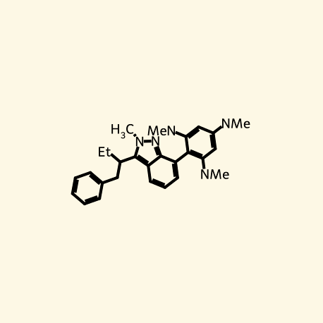 [CH2]CC(Cc1ccccc1)c1c2cccc(-c3c(NC)cc(NC)cc3NC)c2nn1C